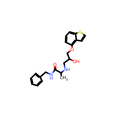 CC(NCC(O)COc1cccc2sccc12)C(=O)NCc1ccccc1